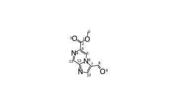 COC(=O)c1cn2c(C=O)cnc2cn1